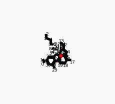 CC.CCCC[SiH]=[Hf]([CH3])([CH3])([CH]1C(CC)=Cc2c(C)cccc21)[CH]1C(CC)=Cc2c(C)cccc21